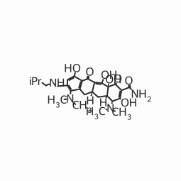 CC(C)CNCc1cc(O)c2c(c1N(C)C)C[C@H]1C[C@H]3[C@H](N(C)C)C(O)=C(C(N)=O)C(=O)[C@@]3(O)C(O)=C1C2=O